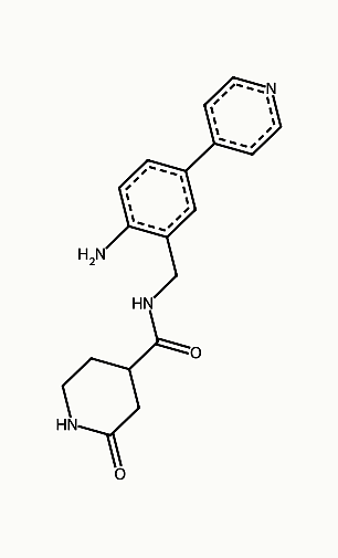 Nc1ccc(-c2ccncc2)cc1CNC(=O)C1CCNC(=O)C1